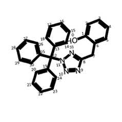 Oc1ccccc1Cc1nnn(C(c2ccccc2)(c2ccccc2)c2ccccc2)n1